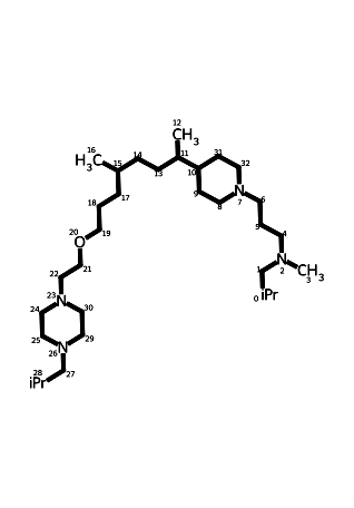 CC(C)CN(C)CCCN1CCC(C(C)CCC(C)CCCOCCN2CCN(CC(C)C)CC2)CC1